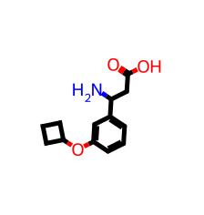 NC(CC(=O)O)c1cccc(OC2CCC2)c1